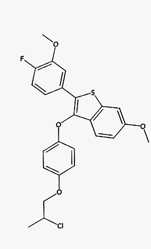 COc1ccc2c(Oc3ccc(OCC(C)Cl)cc3)c(-c3ccc(F)c(OC)c3)sc2c1